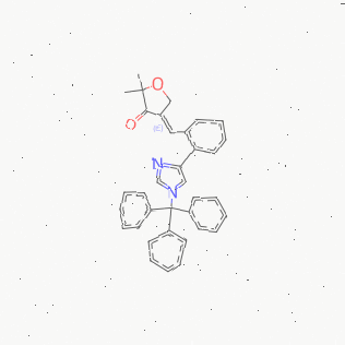 CC1(C)OC/C(=C\c2ccccc2-c2cn(C(c3ccccc3)(c3ccccc3)c3ccccc3)cn2)C1=O